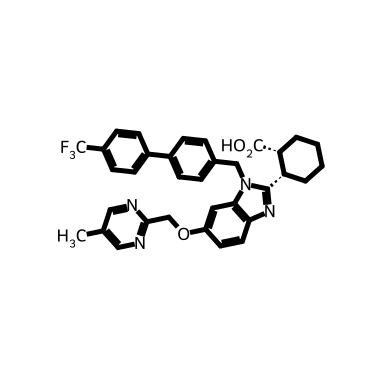 Cc1cnc(COc2ccc3nc([C@H]4CCCC[C@H]4C(=O)O)n(Cc4ccc(-c5ccc(C(F)(F)F)cc5)cc4)c3c2)nc1